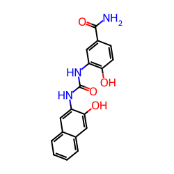 NC(=O)c1ccc(O)c(NC(=O)Nc2cc3ccccc3cc2O)c1